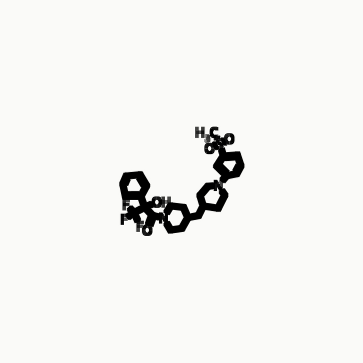 CS(=O)(=O)c1cccc(N2CCC(CC3CCN(C(=O)C(O)(c4ccccc4)C(F)(F)F)CC3)CC2)c1